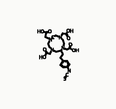 O=C(O)CN1CCN(CC(=O)O)CCN(CC(=O)O)C(CCc2ccc(N=C=S)cc2)CN(CC(=O)O)CC1